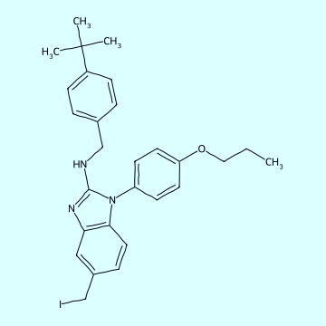 CCCOc1ccc(-n2c(NCc3ccc(C(C)(C)C)cc3)nc3cc(CI)ccc32)cc1